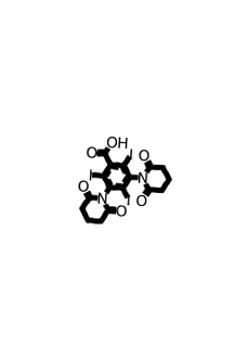 O=C(O)c1c(I)c(N2C(=O)CCCC2=O)c(I)c(N2C(=O)CCCC2=O)c1I